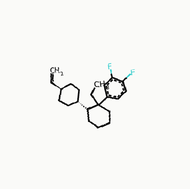 C=C[C@H]1CC[C@H](C2CCCCC2(CC)c2ccc(F)c(F)c2)CC1